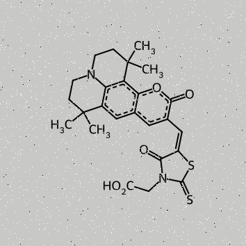 CC1(C)CCN2CCC(C)(C)c3c2c1cc1cc(/C=C2/SC(=S)N(CC(=O)O)C2=O)c(=O)oc31